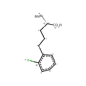 CN[C@@H](CCCc1ccccc1F)C(=O)O